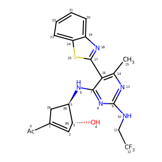 CC(=O)C1=C[C@@H](O)[C@H](Nc2nc(NCC(F)(F)F)nc(C)c2-c2nc3ccccc3s2)C1